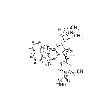 CN(C)C1(C)CN(c2nc3c(F)c(-c4cccc5cccc(Cl)c45)c(Cl)cc3c3c2ncn3C2CCN(C(=O)OC(C)(C)C)[C@H](CC#N)C2)C1